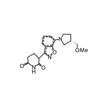 COC[C@H]1CCN(c2cccc3c(C4CCC(=O)NC4=O)noc23)C1